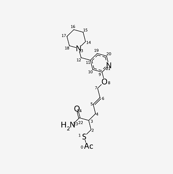 CC(=O)SCC(CC=CCOc1cc(CN2CCCCC2)ccn1)C(N)=O